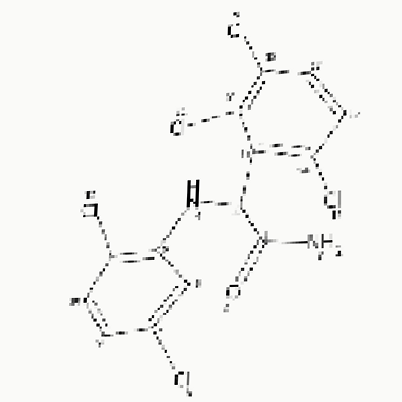 NC(=O)C(Nc1cc(Cl)ccc1Cl)c1c(Cl)ccc(Cl)c1Cl